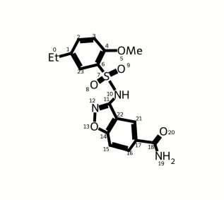 CCc1ccc(OC)c(S(=O)(=O)Nc2noc3ccc(C(N)=O)cc23)c1